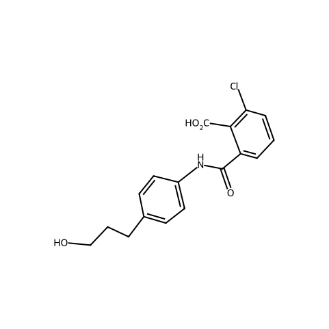 O=C(Nc1ccc(CCCO)cc1)c1cccc(Cl)c1C(=O)O